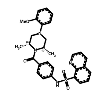 COc1ccccc1N1C[C@@H](C)N(C(=O)c2ccc(NS(=O)(=O)c3cccc4cccnc34)cc2)[C@@H](C)C1